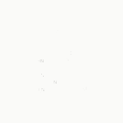 CCOc1ccc(Cl)cc1-c1cc(Nc2ccc(Cl)cc2)nc(N)n1